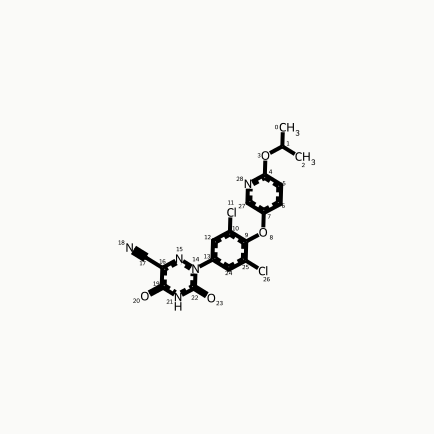 CC(C)Oc1ccc(Oc2c(Cl)cc(-n3nc(C#N)c(=O)[nH]c3=O)cc2Cl)cn1